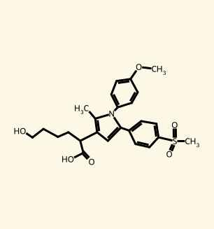 COc1ccc(-n2c(-c3ccc(S(C)(=O)=O)cc3)cc(C(CCCCO)C(=O)O)c2C)cc1